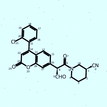 N#C[C@H]1CCCN(C(=O)[C@@H](C=O)c2ccc3c(-c4ccccc4Cl)cc(=O)oc3c2)C1